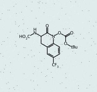 CC(C)(C)OC(=O)ON1C(=O)C(NC(=O)O)Cc2cc(C(F)(F)F)ccc21